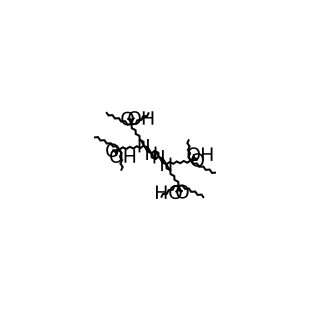 CCCCCCCCC(CCCCCC)(CCCCCCN(CCCCCCC(CCCCCC)(CCCCCCCC)C(=O)O)CCN1CCN(CCN(CCCCCCC(CCCCCC)(CCCCCCCC)C(=O)O)CCCCCCC(CCCCCC)(CCCCCCCC)C(=O)O)CC1)C(=O)O